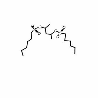 CCCCCCS(=O)(=O)OC(C)CC(C)OS(=O)(=O)CCCCCC